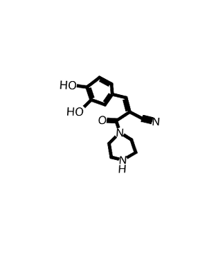 N#CC(=Cc1ccc(O)c(O)c1)C(=O)N1CCNCC1